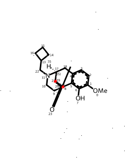 COc1ccc2c(c1O)[C@@]13CCN(CC4CCC4)[C@@H](C2)C1CCC(=O)C3